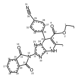 CCOC(=O)C1=C(C)Nc2nc(N3C(=O)c4ccccc4C3=O)nn2C1c1ccc(C#N)cc1